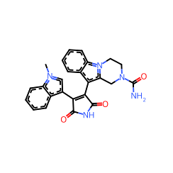 Cn1cc(C2=C(c3c4n(c5ccccc35)CCN(C(N)=O)C4)C(=O)NC2=O)c2ccccc21